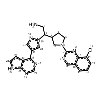 NCC(C1CCN(c2ncc3cccc(Cl)c3n2)C1)n1cc(-c2ncnc3[nH]ccc23)cn1